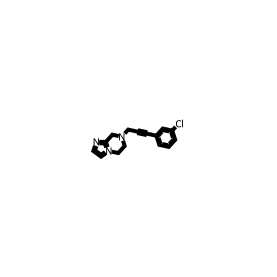 Clc1cccc(C#CCN2CCn3ccnc3C2)c1